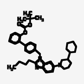 CCCCc1nc2ccc(N3CCCC(C4CCCCC4)C3)cc2n1Cc1ccc(-c2ccccc2OC(=O)OC(C)(C)C)cc1